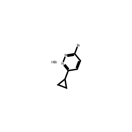 Br.Brc1ccc(C2CC2)nn1